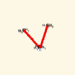 C[Si](C)(CCCOCCOCCOCCOCCOCCOCCOCCOCCOCCOCCO[Si](C)(C)C)N[Si](C)(C)CCCOCCOCCOCCOCCOCCOCCOCCOCCOCCOCCO[Si](C)(C)C